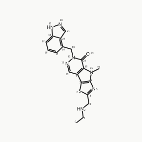 CCNCc1nc2c(s1)c1cnn(Cc3cccc4[nH]ncc34)c(=O)c1n2C